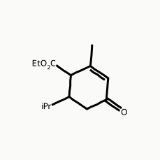 CCOC(=O)C1C(C)=CC(=O)CC1C(C)C